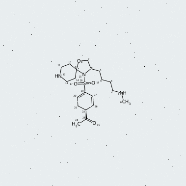 CNCCCCC1COC2(CCNCC2)N1S(=O)(=O)C1=CC[C@H](C(C)=O)C=C1